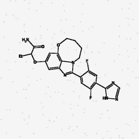 CCC(Oc1cc2c3c(c1)nc(-c1cc(F)c(-c4ncn[nH]4)cc1F)n3CCCCO2)C(N)=O